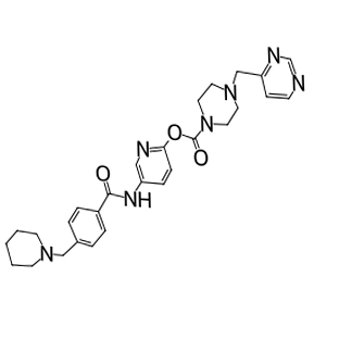 O=C(Nc1ccc(OC(=O)N2CCN(Cc3ccncn3)CC2)nc1)c1ccc(CN2CCCCC2)cc1